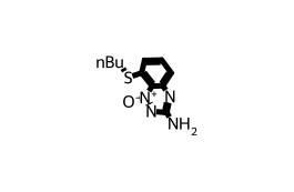 CCCCSc1cccc2nc(N)n[n+]([O-])c12